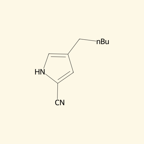 CCCCCc1c[nH]c(C#N)c1